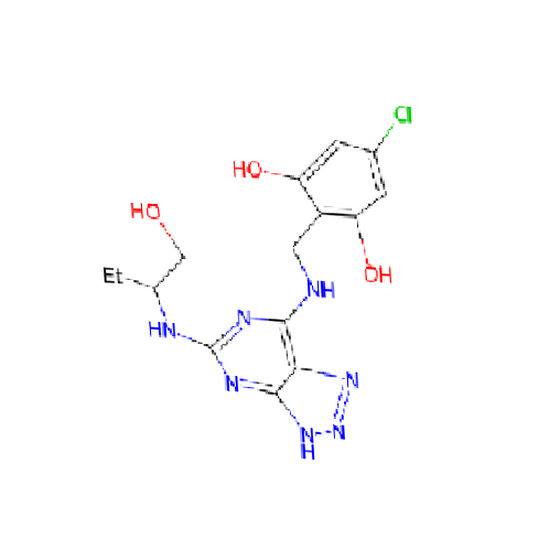 CCC(CO)Nc1nc(NCc2c(O)cc(Cl)cc2O)c2nn[nH]c2n1